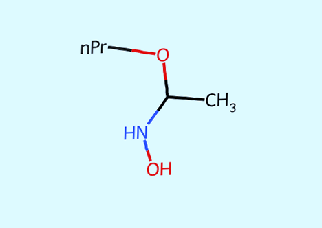 CCCOC(C)NO